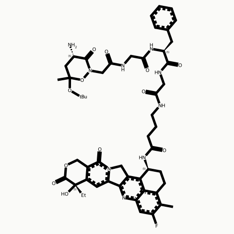 CC[C@@]1(O)C(=O)OCc2c1cc1n(c2=O)Cc2c-1nc1cc(F)c(C)c3c1c2[C@@H](NC(=O)CCCNC(=O)CNC(=O)[C@H](Cc1ccccc1)NC(=O)CNC(=O)CN1OC(C)(OC(C)(C)C)C[C@H](N)C1=O)CC3